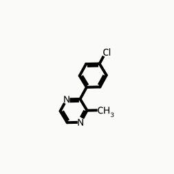 Cc1nccnc1-c1ccc(Cl)cc1